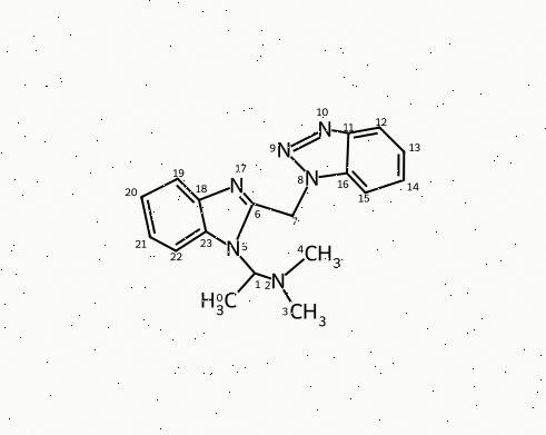 CC(N(C)C)n1c(Cn2nnc3ccccc32)nc2ccccc21